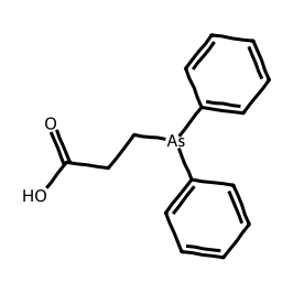 O=C(O)CC[As](c1ccccc1)c1ccccc1